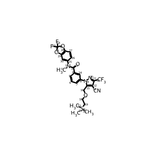 CN(C(=O)c1cccc(-n2nc(C(F)(F)F)c(C#N)c2COCCS(C)(C)C)c1)c1ccc2c(c1)OC(F)(F)O2